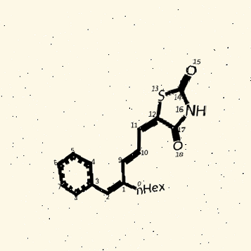 CCCCCCC(=C/c1ccccc1)/C=C/C=C1/SC(=O)NC1=O